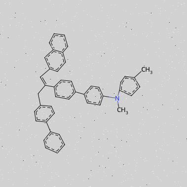 Cc1ccc(N(C)c2ccc(-c3ccc(/C(=C\c4ccc5ccccc5c4)Cc4ccc(-c5ccccc5)cc4)cc3)cc2)cc1